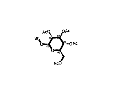 CC(=O)OC[C@H]1O[C@@H](OBr)[C@H](OC(C)=O)[C@@H](OC(C)=O)[C@@H]1OC(C)=O